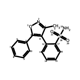 Cc1noc(-c2ccccc2)c1-c1ccccc1S(N)(=O)=O